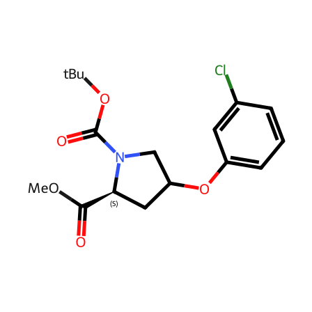 COC(=O)[C@@H]1CC(Oc2cccc(Cl)c2)CN1C(=O)OC(C)(C)C